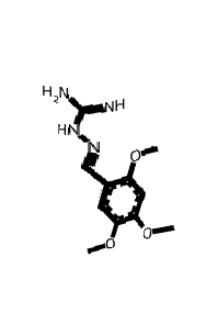 COc1cc(OC)c(OC)cc1C=NNC(=N)N